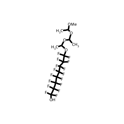 COC(C)OC(C)OC(C)OC(F)(F)C(F)(F)C(F)(F)C(F)(F)C(F)(F)C(F)(F)C(F)(F)C(O)(F)F